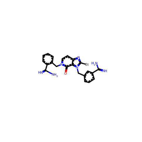 CCc1nc2ccn(Cc3ccccc3C(=N)N)c(=O)c2n1Cc1cccc(C(=N)N)c1